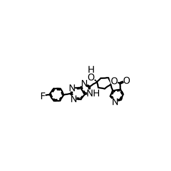 O=C1O[C@]2(CC[C@@](O)(c3nc4nc(-c5ccc(F)cc5)ncc4[nH]3)CC2)c2cnccc21